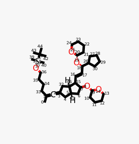 CC(=C=C1C[C@H]2CC(OC3CCCCO3)C(/C=C/[C@@H](O[C@H]3CCCCO3)C3CCCC3)[C@H]2C1)CCCCO[Si](C)(C)C(C)(C)C